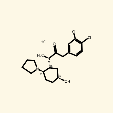 CN(C(=O)Cc1ccc(Cl)c(Cl)c1)[C@@H]1C[C@@H](O)CC[C@H]1N1CCCC1.Cl